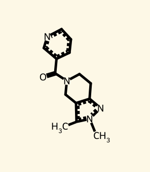 Cc1c2c(nn1C)CCN(C(=O)c1cccnc1)C2